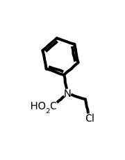 O=C(O)N(CCl)c1ccccc1